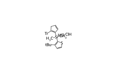 CC(C)(C)c1ccsc1[Si](C)(C)C1=[C]([Ti])CC=C1.Cl.Cl